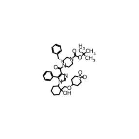 CC(C)(C)OC(=O)N1CCN(C(=O)c2ncn(C3CCCCC3(O)COC3CCS(=O)(=O)CC3)c2-c2ccccc2)[C@H](Cc2ccccc2)C1